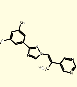 O=C(O)/C(=C\n1cnc(-c2cc(S)cc(C(F)(F)F)c2)n1)c1cncnc1